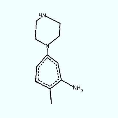 Cc1ccc(N2CCNCC2)cc1N